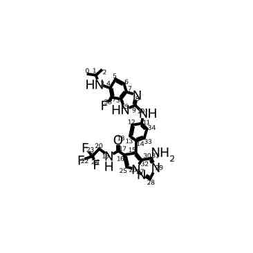 CC(C)Nc1ccc2nc(Nc3ccc(-c4c(C(=O)NCC(F)(F)F)cn5ncnc(N)c45)cc3)[nH]c2c1F